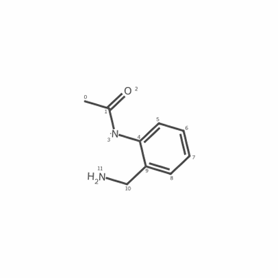 CC(=O)[N]c1ccccc1CN